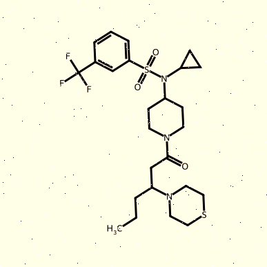 CCCC(CC(=O)N1CCC(N(C2CC2)S(=O)(=O)c2cccc(C(F)(F)F)c2)CC1)N1CCSCC1